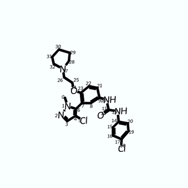 Cn1ncc(Cl)c1-c1cc(NC(=O)Nc2ccc(Cl)cc2)ccc1OCCN1CCCCC1